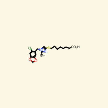 CCCc1nc(SCCCCCCCC(=O)O)cn1Cc1cc2c(cc1Cl)OCO2